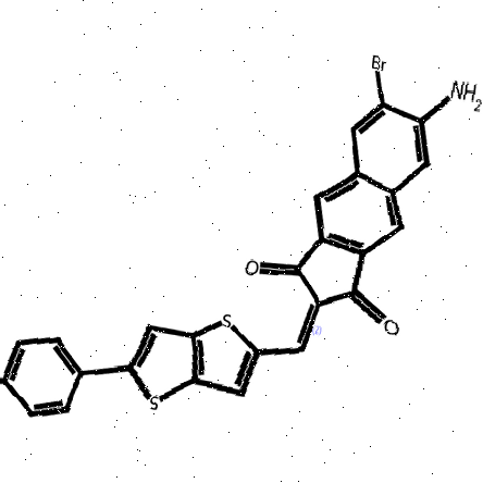 Nc1cc2cc3c(cc2cc1Br)C(=O)/C(=C\c1cc2sc(-c4ccccc4)cc2s1)C3=O